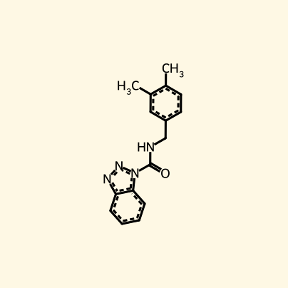 Cc1ccc(CNC(=O)n2nnc3ccccc32)cc1C